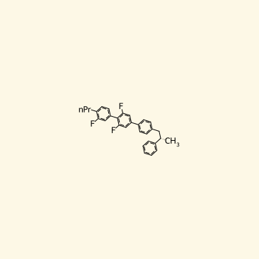 CCCc1ccc(-c2c(F)cc(-c3ccc(C[C@H](C)c4ccccc4)cc3)cc2F)cc1F